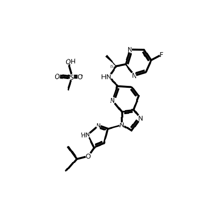 CC(C)Oc1cc(-n2cnc3ccc(N[C@@H](C)c4ncc(F)cn4)nc32)n[nH]1.CS(=O)(=O)O